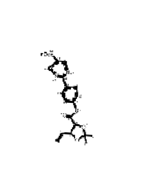 C=CC1OC(C)(C)OC1C(=O)Oc1ccc(-c2ncc(CCCCCCCCCC)cn2)cc1